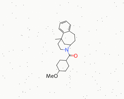 COC1CCC(C(=O)N2CCC3(C)CC2CCc2ccccc23)CC1